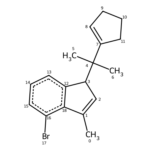 CC1=CC(C(C)(C)C2=CCCC2)c2cccc(Br)c21